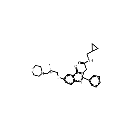 C[C@H](COc1ccc2nc(-c3ccccc3)n(CC(=O)NCC3CC3)c(=O)c2c1)CN1CCOCC1